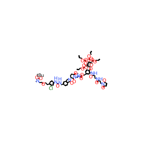 C=CCOC(=O)O[C@@H]1[C@@H](OC(=O)OCC=C)[C@H](Oc2ccc(COC(=O)N(C)CN3C(=O)CCC(N4Cc5cc(CNC(=O)Nc6ccc(CCOCCN(C)C(=O)OC(C)(C)C)c(Cl)c6)ccc5C4=O)C3=O)cc2NC(=O)CCNC(=O)CCN2C(=O)C=CC2=O)O[C@H](C(=O)OCC=C)[C@H]1OC(=O)OCC=C